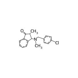 CC1C(=O)c2ccccc2C1N(C)Cc1ccc(Cl)cc1